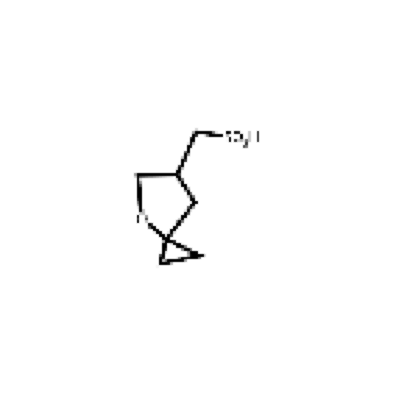 O=S(=O)(O)CC1COC2(CC2)C1